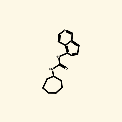 O=C(Nc1cccc2cnccc12)NC1CCCCCC1